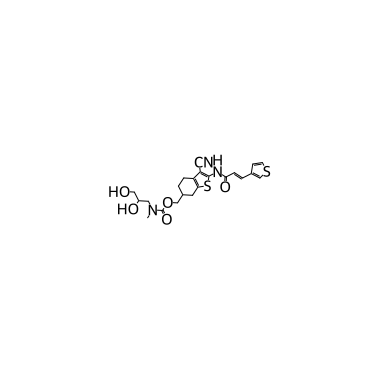 CN(CC(O)CO)C(=O)OCC1CCc2c(sc(NC(=O)C=Cc3ccsc3)c2C#N)C1